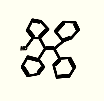 Oc1ccccc1C(=C(c1ccccc1)c1ccccc1)c1ccccc1